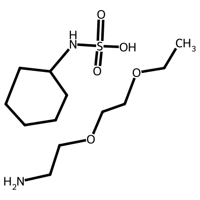 CCOCCOCCN.O=S(=O)(O)NC1CCCCC1